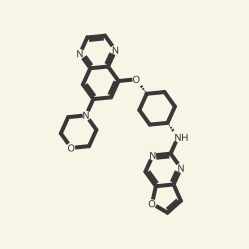 c1cnc2c(O[C@H]3CC[C@@H](Nc4ncc5occc5n4)CC3)cc(N3CCOCC3)cc2n1